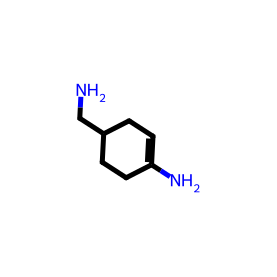 NCC1CC=C(N)CC1